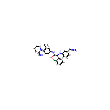 Cc1cc(NC(=O)C(Nc2cccc(CN)c2)c2ccccc2F)ccc1N1CCCCC1=N